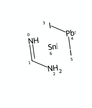 N=CN.[I][Pb][I].[Sn]